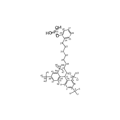 Cc1cc(C(C)(C)C)cc(C(C)(C)C)c1C(CCCCCCCCc1ccccc1OP(O)O)c1c(C)cc(C(C)(C)C)cc1C(C)(C)C